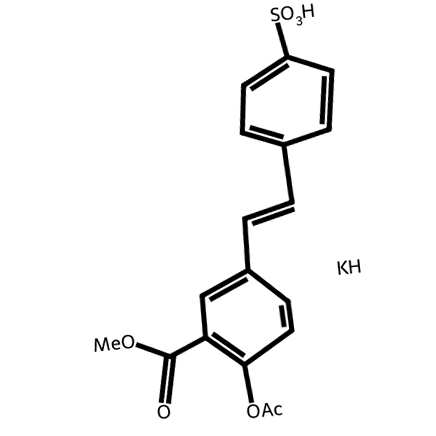 COC(=O)c1cc(C=Cc2ccc(S(=O)(=O)O)cc2)ccc1OC(C)=O.[KH]